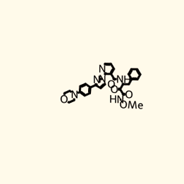 CONC(=O)C(=O)C(Cc1ccccc1)NC(=O)c1cccnc1-n1ccc(-c2ccc(N3CCOCC3)cc2)n1